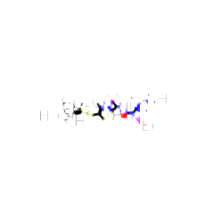 CCO/N=C(/C(=O)NC1C(=O)N2C(C(=O)O)=C(CSC#C[Si](C)(C)C)CS[C@H]12)c1nsc(N)n1